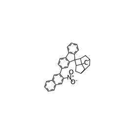 O=[N+]([O-])c1cc2ccccc2cc1-c1ccc2c(c1)C1(c3ccccc3-2)C2CC3CC4CC1C2(C3)C4